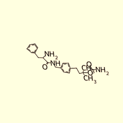 CC(C)(CCc1ccc(CNC(=O)C(N)Cc2ccccc2)cc1)OC(N)=O